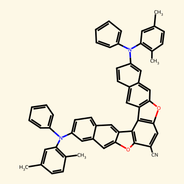 Cc1ccc(C)c(N(c2ccccc2)c2ccc3cc4c(cc3c2)oc2cc(C#N)c3oc5cc6cc(N(c7ccccc7)c7cc(C)ccc7C)ccc6cc5c3c24)c1